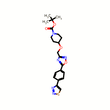 CC(C)(C)OC(=O)N1CCC(OCc2noc(-c3ccc(-c4csnn4)cc3)n2)CC1